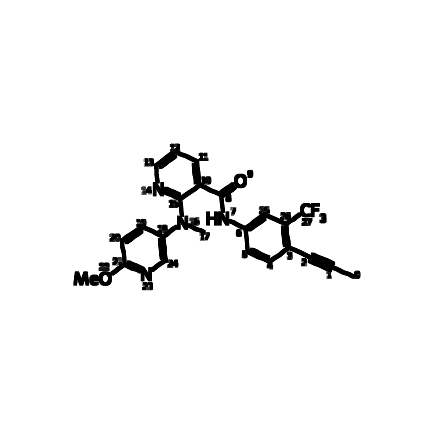 CC#Cc1ccc(NC(=O)c2cccnc2N(C)c2ccc(OC)nc2)cc1C(F)(F)F